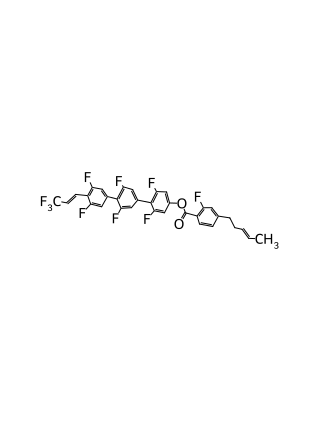 C/C=C/CCc1ccc(C(=O)Oc2cc(F)c(-c3cc(F)c(-c4cc(F)c(/C=C/C(F)(F)F)c(F)c4)c(F)c3)c(F)c2)c(F)c1